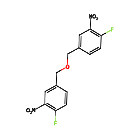 O=[N+]([O-])c1cc(COCc2ccc(F)c([N+](=O)[O-])c2)ccc1F